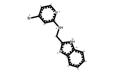 Brc1ccnc(NCc2nc3ccccc3[nH]2)c1